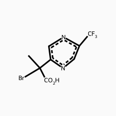 CC(Br)(C(=O)O)c1cnc(C(F)(F)F)cn1